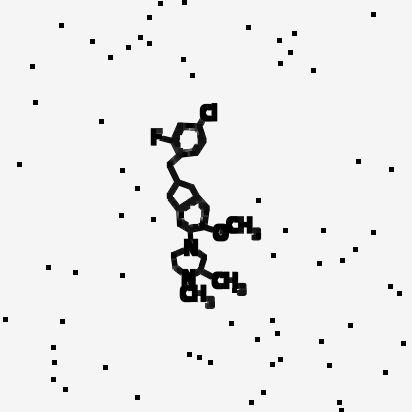 COc1cc2c(cc1N1CCN(C)C(C)C1)CC(Cc1ccc(Cl)cc1F)C2